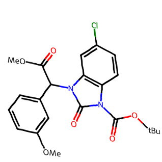 COC(=O)C(c1cccc(OC)c1)n1c(=O)n(C(=O)OC(C)(C)C)c2ccc(Cl)cc21